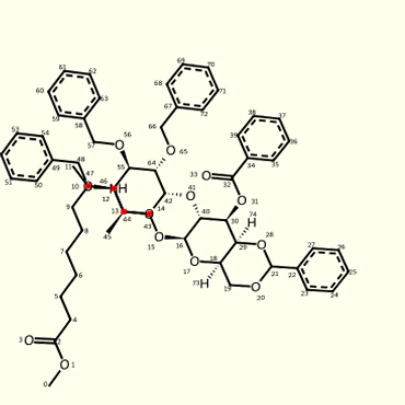 COC(=O)CCCCCCC(C)NCCO[C@@H]1O[C@@H]2COC(c3ccccc3)O[C@@H]2[C@H](OC(=O)c2ccccc2)[C@H]1O[C@@H]1O[C@@H](C)[C@@H](OCc2ccccc2)[C@@H](OCc2ccccc2)[C@@H]1OCc1ccccc1